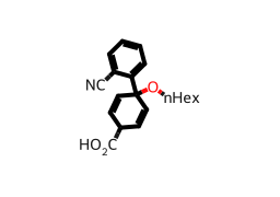 CCCCCCOC1(c2ccccc2C#N)C=CC(C(=O)O)C=C1